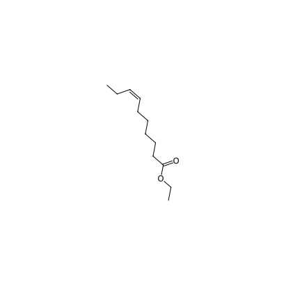 CC/C=C\CCCCCC(=O)OCC